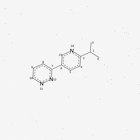 CC(C)c1ccc(-c2cccnn2)cn1